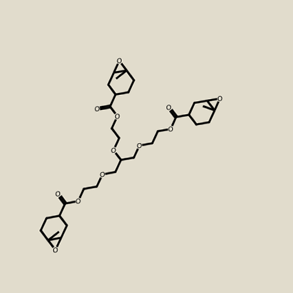 CC12CCC(C(=O)OCCOCC(COCCOC(=O)C3CCC4(C)OC4C3)OCCOC(=O)C3CCC4(C)OC4C3)CC1O2